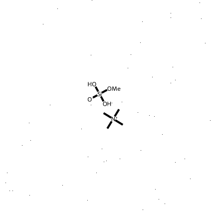 CO[Si]([O-])(O)O.C[N+](C)(C)C